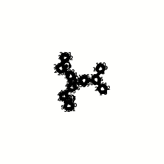 c1ccc(-c2cc(-c3ccccc3)cc(-c3ccc(-n4c5ccc(-c6cccc7c6oc6ccccc67)cc5c5cc(-c6cccc7c6oc6ccccc67)ccc54)cc3)c2)cc1